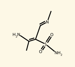 C/N=C/C(=C(/C)N)S(N)(=O)=O